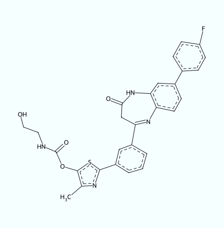 Cc1nc(-c2cccc(C3=Nc4ccc(-c5ccc(F)cc5)cc4NC(=O)C3)c2)sc1OC(=O)NCCO